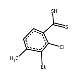 CCc1c(C)ccc(C(=S)S)c1Cl